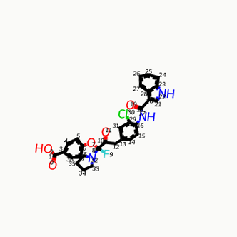 O=C(O)c1ccc(OC(F)(C(=O)Cc2ccc(NC(=O)c3c[nH]c4ccccc34)c(Cl)c2)N2CCCC2)cc1